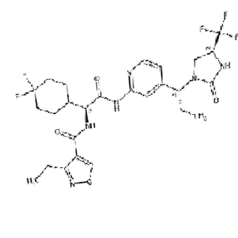 CCc1nocc1C(=O)N[C@H](C(=O)Nc1cc([C@@H](CC)N2C[C@@H](C(F)(F)F)NC2=O)ccn1)C1CCC(F)(F)CC1